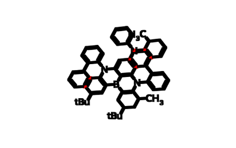 CC1CC=CC=C1N(c1ccccc1)c1cc2c3c(c1)N(c1ccccc1-c1ccccc1)c1ccc(C(C)(C)C)cc1B3C1=C(C(C)CC(C(C)(C)C)C1)N2c1ccccc1-c1ccccc1